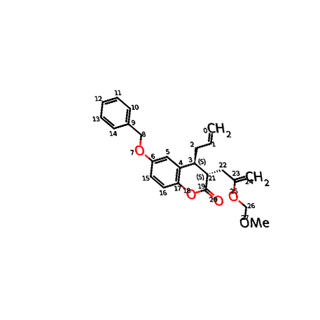 C=CC[C@@H]1c2cc(OCc3ccccc3)ccc2OC(=O)[C@H]1CC(=C)OCOC